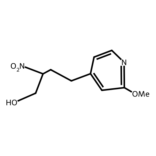 COc1cc(CCC(CO)[N+](=O)[O-])ccn1